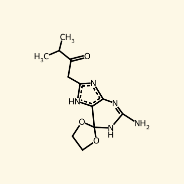 CC(C)C(=O)Cc1nc2c([nH]1)C1(NC(N)=N2)OCCO1